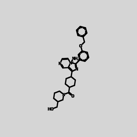 N[N+]12C=CN=CC1=C(C1CCC(C(=O)N3CCCC(CO)C3)CC1)N=C2c1cccc(OCc2ccccc2)c1